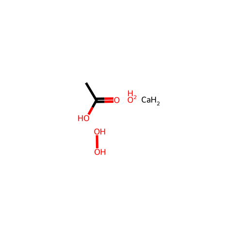 CC(=O)O.O.OO.[CaH2]